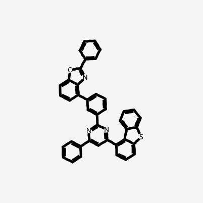 c1ccc(-c2cc(-c3cccc4sc5ccccc5c34)nc(-c3cccc(-c4cccc5oc(-c6ccccc6)nc45)c3)n2)cc1